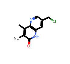 Cc1c(C#N)c(=O)[nH]c2cc(CCl)cnc12